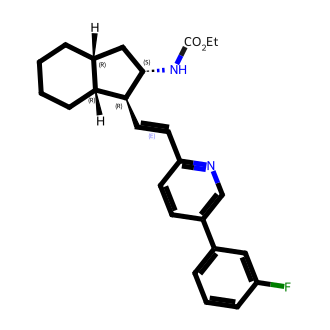 CCOC(=O)N[C@H]1C[C@H]2CCCC[C@H]2[C@@H]1/C=C/c1ccc(-c2cccc(F)c2)cn1